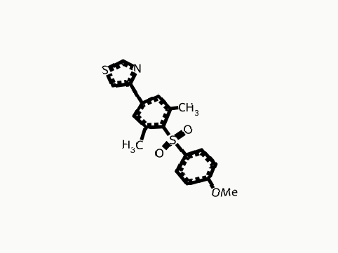 COc1ccc(S(=O)(=O)c2c(C)cc(-c3cscn3)cc2C)cc1